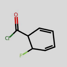 O=C(Cl)C1C=CC=CC1F